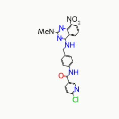 CNc1nc(NCc2ccc(NC(=O)c3ccc(Cl)nc3)cc2)c2cccc([N+](=O)[O-])c2n1